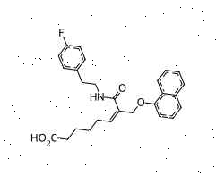 O=C(O)CCCCC=C(COc1cccc2ccccc12)C(=O)NCCc1ccc(F)cc1